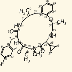 C[C@@H]1CNC(=O)[C@@H](Cc2ccc(F)cc2)NC(=O)[C@@H](C)N(C)C(=O)[C@H](C2CC2)NC[C@@H](C)Oc2ccccc2C1